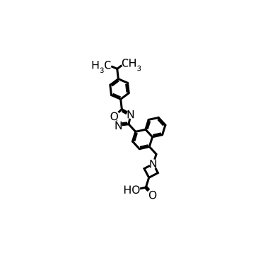 CC(C)c1ccc(-c2nc(-c3ccc(CN4CC(C(=O)O)C4)c4ccccc34)no2)cc1